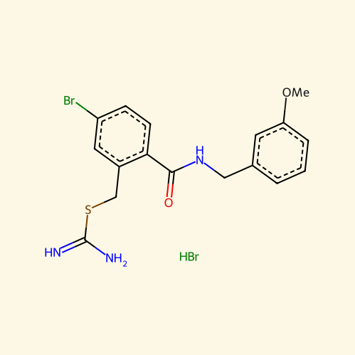 Br.COc1cccc(CNC(=O)c2ccc(Br)cc2CSC(=N)N)c1